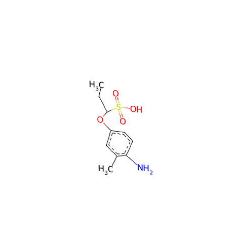 CCC(Oc1ccc(N)c(C)c1)S(=O)(=O)O